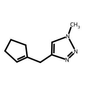 Cn1cc(CC2=CCCC2)nn1